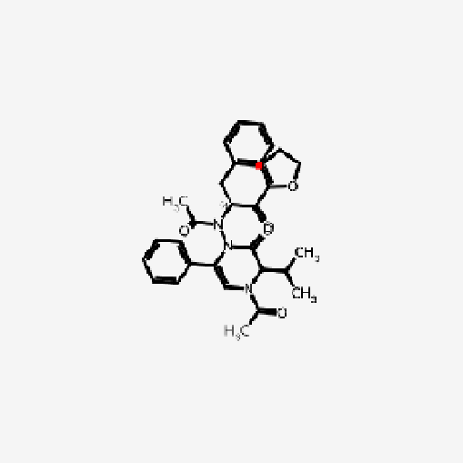 CC(=O)N1C=C(c2ccccc2)N(N(C(C)=O)[C@@H](Cc2ccccc2)C(=O)C2=CCCO2)C(=O)C1C(C)C